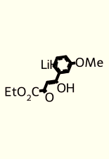 CCOC(=O)C(=O)C=C(O)c1cccc(OC)c1.[LiH]